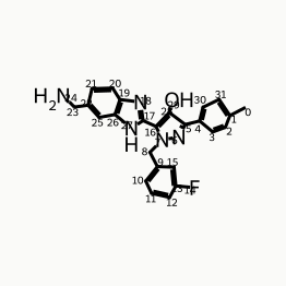 Cc1ccc(-c2nn(Cc3cccc(F)c3)c(-c3nc4ccc(CN)cc4[nH]3)c2O)cc1